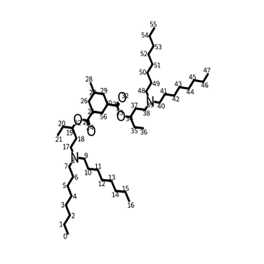 CCCCCCCCN(CCCCCCCC)CCC(CC)OC(=O)C1CC(C)CC(C(=O)OC(CC)CCN(CCCCCCCC)CCCCCCCC)C1